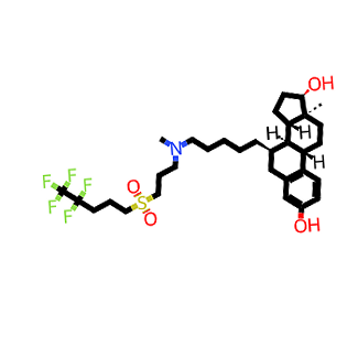 CN(CCCCC[C@@H]1Cc2cc(O)ccc2[C@H]2CC[C@]3(C)[C@@H](O)CC[C@H]3[C@H]12)CCCS(=O)(=O)CCCC(F)(F)C(F)(F)F